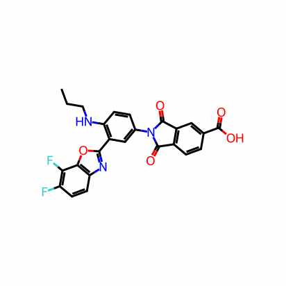 CCCNc1ccc(N2C(=O)c3ccc(C(=O)O)cc3C2=O)cc1-c1nc2ccc(F)c(F)c2o1